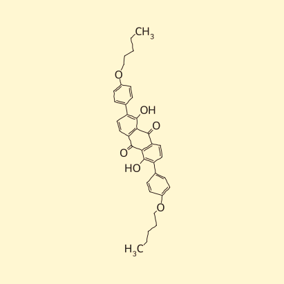 CCCCCOc1ccc(-c2ccc3c(c2O)C(=O)c2ccc(-c4ccc(OCCCCC)cc4)c(O)c2C3=O)cc1